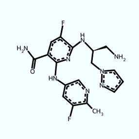 Cc1ncc(Nc2nc(N[C@@H](CN)Cn3cccn3)c(F)cc2C(N)=O)cc1F